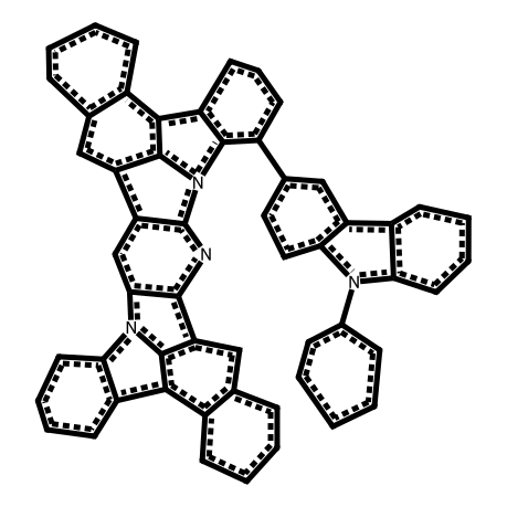 c1ccc(-n2c3ccccc3c3cc(-c4cccc5c6c7ccccc7cc7c8cc9c(nc8n(c45)c76)c4cc5ccccc5c5c6ccccc6n9c45)ccc32)cc1